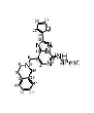 CCCC(C)Nc1ncc(CN2CCc3ccccc3C2)c2nc(-c3ccco3)nn12